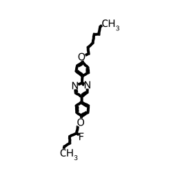 CCCCCCCOc1ccc(-c2ncc(-c3ccc(OCC(F)CCCC)cc3)cn2)cc1